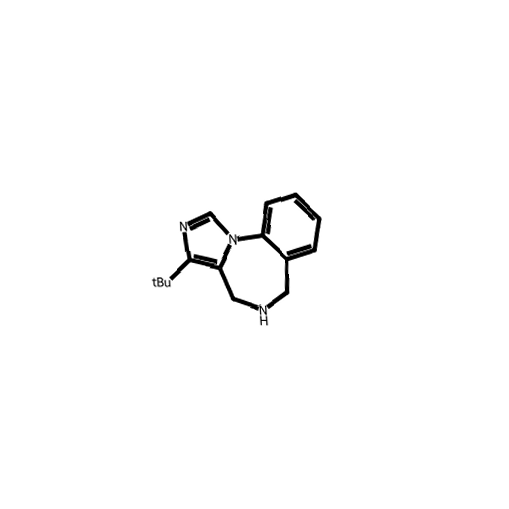 CC(C)(C)c1ncn2c1CNCc1ccccc1-2